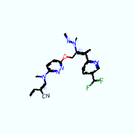 C=C/C(C#N)=C\N(C)c1ccc(OC/C(=C(/C)c2ccc(C(F)F)cn2)N(C)N=C)nn1